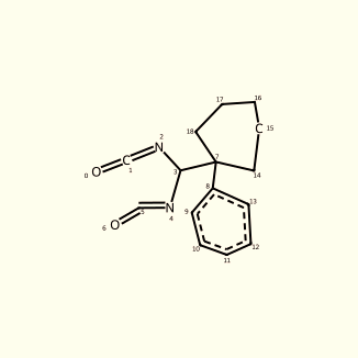 O=C=NC(N=C=O)C1(c2ccccc2)CCCCC1